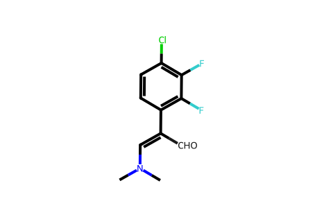 CN(C)/C=C(\C=O)c1ccc(Cl)c(F)c1F